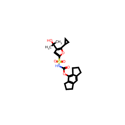 CC(C)(O)c1cc(S(=O)(=O)NC(=O)Oc2c3c(cc4c2CCC4)CCC3)oc1C1CC1